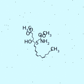 CCCCC/C=C\C\C=C/C=C/C=C/C(SC[C@H](N)C(=O)OC)C(O)CCCC(=O)OC